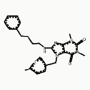 Cc1ccc(Cn2c(NCCCCc3ccccc3)nc3c2c(=O)n(C)c(=O)n3C)cc1